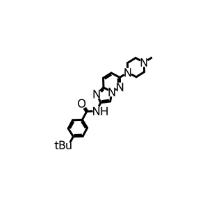 CN1CCN(c2ccc3nc(NC(=O)c4ccc(C(C)(C)C)cc4)cn3n2)CC1